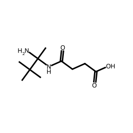 CC(C)(C)C(C)(N)NC(=O)CCC(=O)O